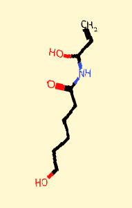 C=CC(O)NC(=O)CCCCCO